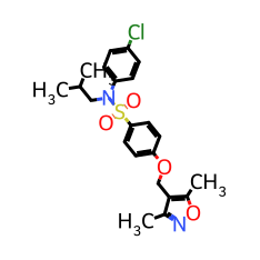 Cc1noc(C)c1COc1ccc(S(=O)(=O)N(CC(C)C)c2ccc(Cl)cc2)cc1